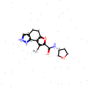 Cc1c(C(=O)N[C@@H]2CCOC2)oc2c1-c1n[nH]cc1CC2